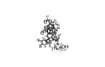 CC[C@]1(O)C[C@H]2CN(CCC3=C(Cc4cc(I)c(I)cc43)[C@@](C(=O)OC)(c3cc4c(cc3OC)N(C=O)[C@@]35O[C@]3(C(=O)OC)[C@H](OC(C)=O)[C@]3(CC)C=CCN6CC[C@]45[C@@H]63)C2)C1